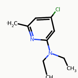 [CH2]c1cc(Cl)cc(N(CC)CC)n1